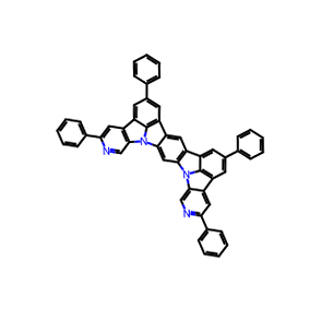 c1ccc(-c2cc3c4cc(-c5ccccc5)ncc4n4c5cc6c(cc5c(c2)c34)c2cc(-c3ccccc3)cc3c4cc(-c5ccccc5)ncc4n6c32)cc1